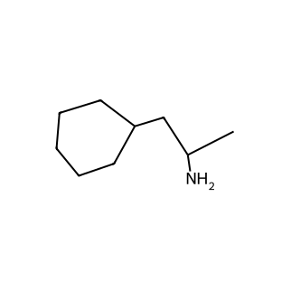 CC(N)CC1CCCCC1